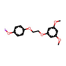 COc1cc(OC)cc(OCCOc2ccc(OI)cc2)c1